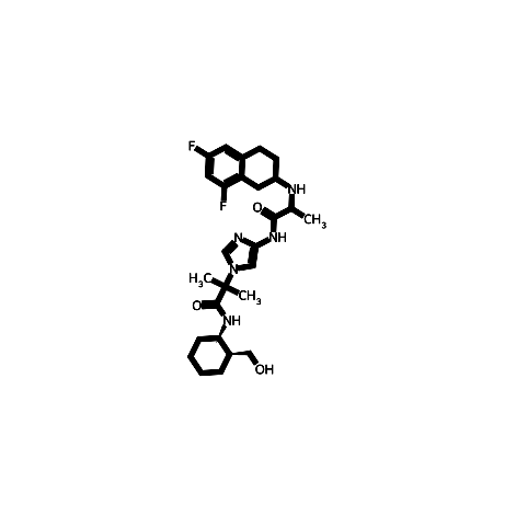 CC(NC1CCc2cc(F)cc(F)c2C1)C(=O)Nc1cn(C(C)(C)C(=O)N[C@@H]2CCCC[C@@H]2CO)cn1